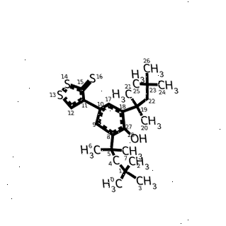 CC(C)(C)CC(C)(C)c1cc(-c2cssc2=S)cc(C(C)(C)CC(C)(C)C)c1O